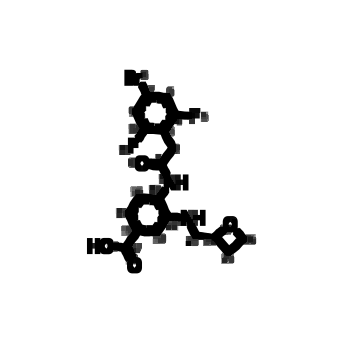 O=C(Cc1c(F)cc(Br)cc1F)Nc1ccc(C(=O)O)cc1NC[C@@H]1CCO1